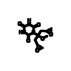 COC(CC1CO1)(CC1CO1)n1c(=O)[nH]c(=O)[nH]c1=O